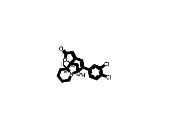 O=C1C=C2C=C(c3ccc(Cl)c(Cl)c3)[C@@H]3C[C@@]2(O1)[C@H]1CCCCN31